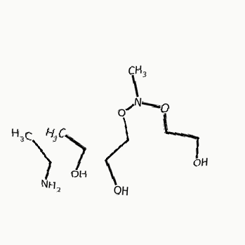 CCN.CCO.CN(OCCO)OCCO